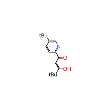 CC(C)(C)/C(O)=C/C(=O)c1ccc(C(C)(C)C)cn1